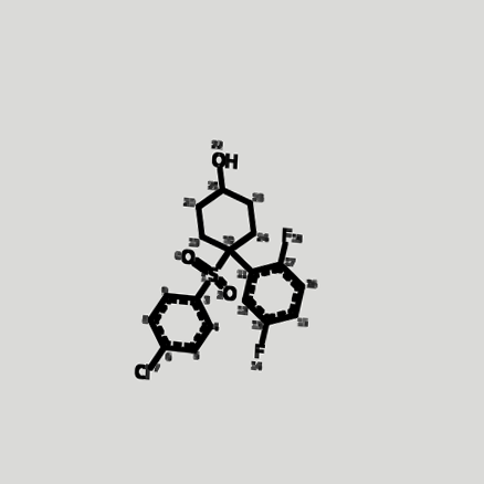 O=S(=O)(c1ccc(Cl)cc1)C1(c2cc(F)ccc2F)CCC(O)CC1